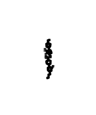 CCCCc1ccc(C2CCC(C(=O)Oc3ccc(-c4ccc(CC)cc4)c(F)c3F)CC2)c(F)c1